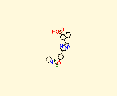 O=S(O)c1ccc(-c2cnn3cc(-c4ccc(OC(F)(F)CN5CCCCC5)cc4)cnc23)c2ccccc12